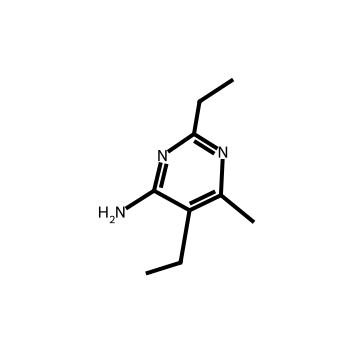 CCc1nc(C)c(CC)c(N)n1